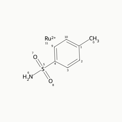 Cc1ccc(S(N)(=O)=O)cc1.[Ru+2]